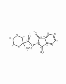 COC1(C(=O)ON2C(=O)c3ccccc3C2=O)CCOCC1